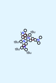 C/C=C\C=C1\c2ccccc2N2C(C)=CC=C(c3cc4c5c(c3)N(c3c(-c6ccccc6)cc(C(C)(C)C)cc3-c3ccccc3)c3cc(-n6c7ccc(C(C)(C)C)cc7c7cc(C(C)(C)C)ccc76)ccc3B5c3ccc(-c5ccc6c(c5)c5ccccc5n6-c5ccccc5)cc3N4c3c(-c4ccccc4)cc(C(C)(C)C)cc3-c3ccccc3)C12